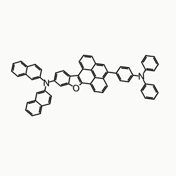 c1ccc(N(c2ccccc2)c2ccc(-c3cc4cccc5c6c7ccc(N(c8ccc9ccccc9c8)c8ccc9ccccc9c8)cc7oc6c6cccc3c6c45)cc2)cc1